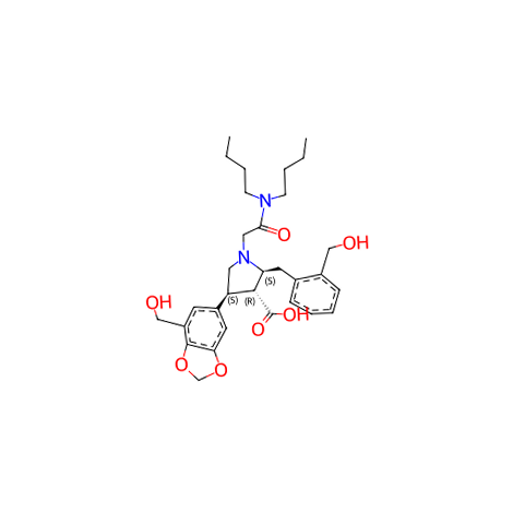 CCCCN(CCCC)C(=O)CN1C[C@H](c2cc(CO)c3c(c2)OCO3)[C@@H](C(=O)O)[C@@H]1Cc1ccccc1CO